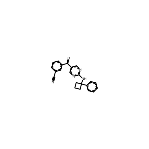 N#Cc1cccc(C(=O)c2cnc(NC3(c4ccccc4)CCC3)nc2)c1